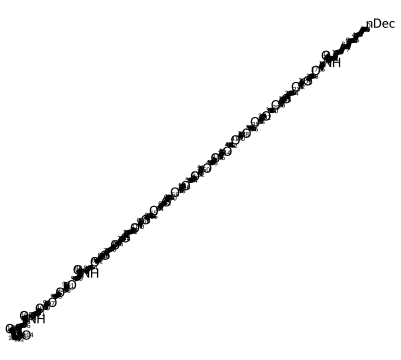 CCCCCCCCCCCCCCCCCCCCCC(=O)NCCOCCOCCOCCOCCOCCOCCOCCOCCOCCOCCOCCOCCOCCOCCOCCOCCOCCOCCOCCOCCOCCOCCOCCNC(=O)CCOCCOCCOCCOCCNC(=O)CCN1C(=O)C=CC1=O